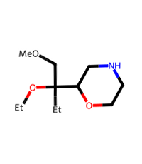 CCOC(CC)(COC)C1CNCCO1